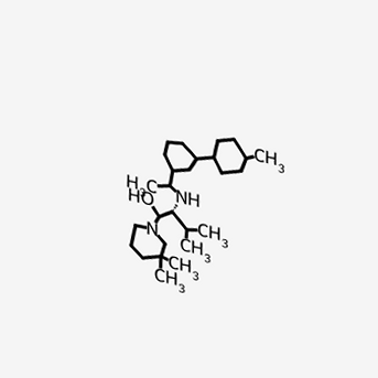 CC1CCC(C2CCCC(C(C)N[C@H](C(C)C)C(O)N3CCCC(C)(C)C3)C2)CC1